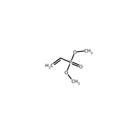 C=CP(=O)(OC)OC